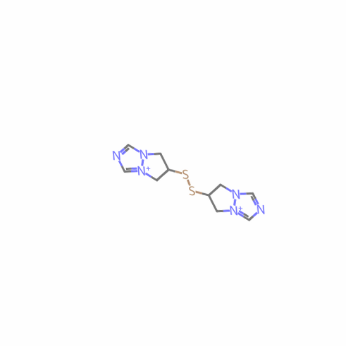 c1nc[n+]2n1CC(SSC1Cn3cnc[n+]3C1)C2